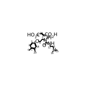 Cc1ccc(OCCN(C(=O)NCCN(C)C)C(C)C)cc1C.O=C(O)C=CC(=O)O